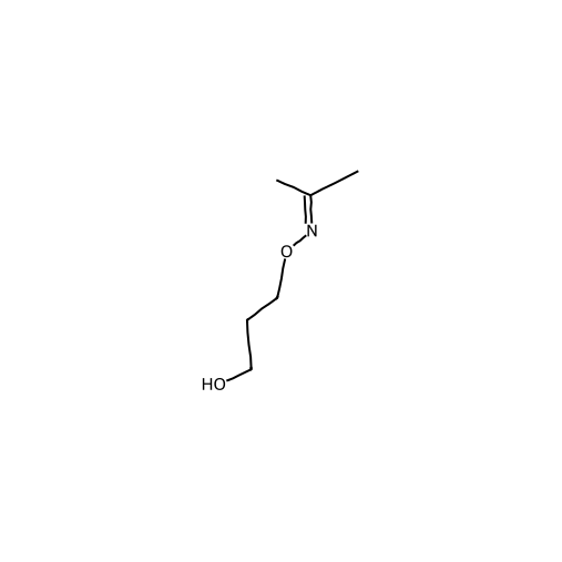 CC(C)=NOCCCO